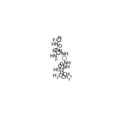 CC(C)(C)OC[C@H](NC(=O)N[C@H]1CC[C@H](Nc2cc(NC3CC3)c3ncc(C(=O)Nc4ccncc4F)n3n2)CC1)C(=O)O